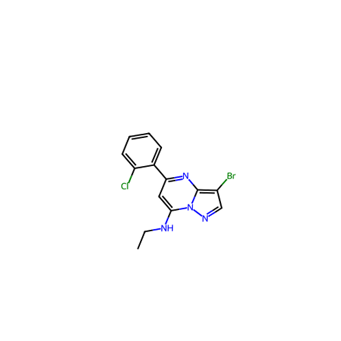 CCNc1cc(-c2ccccc2Cl)nc2c(Br)cnn12